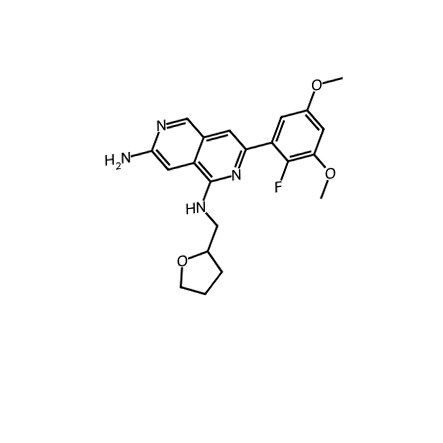 COc1cc(OC)c(F)c(-c2cc3cnc(N)cc3c(NCC3CCCO3)n2)c1